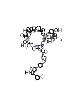 CO[C@@H]1C[C@H](/C=C(\C)[C@H]2OC(=O)[C@@H]3CCCCN3C(=O)C(=O)[C@]3(O)O[C@H]([C@@H](C=O)C[C@@H](C)C/C(C)=C/[C@@H](CCCC(=O)N4CCN(Cc5ccc(-c6cnc7[nH]cc(-c8cccc(Cl)c8)c7c6)cc5)CC4)C(=O)C[C@H](O)[C@H]2C)[C@@H](C=O)C[C@H]3C)CC[C@H]1O